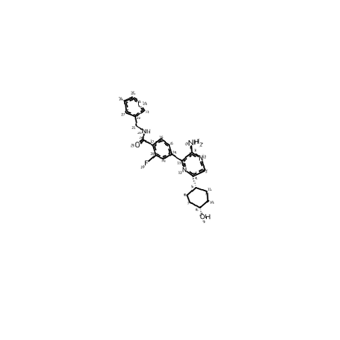 Nc1ncc([C@H]2CC[C@@H](O)CC2)nc1-c1ccc(C(=O)NCc2ccccc2)c(F)c1